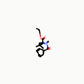 CCOC(=O)C1(N(C)C(=O)c2ccccc2)CC1(C)C